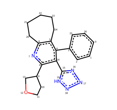 c1ccc(-c2c3c(nc(C4CCOC4)c2-c2nnn[nH]2)CCCCC3)cc1